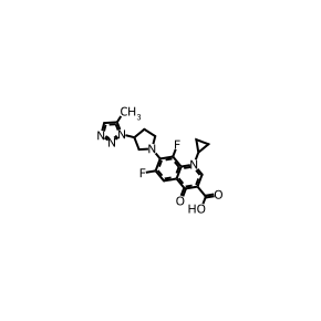 Cc1cnnn1C1CCN(c2c(F)cc3c(=O)c(C(=O)O)cn(C4CC4)c3c2F)C1